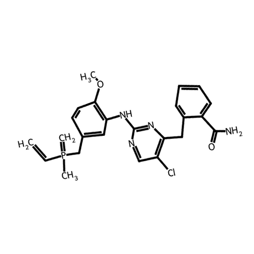 C=CP(=C)(C)Cc1ccc(OC)c(Nc2ncc(Cl)c(Cc3ccccc3C(N)=O)n2)c1